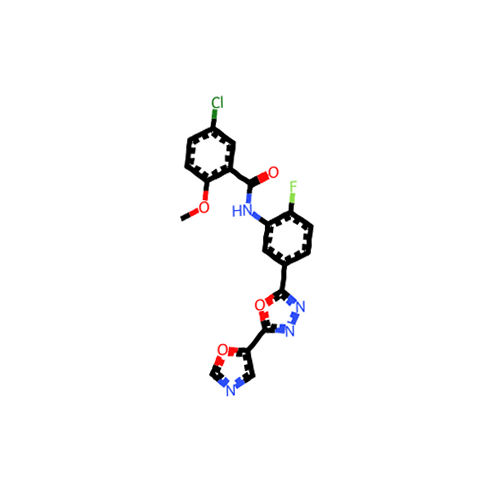 COc1ccc(Cl)cc1C(=O)Nc1cc(-c2nnc(-c3cnco3)o2)ccc1F